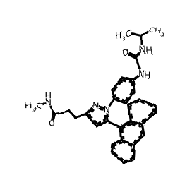 CNC(=O)CCc1cc(-c2c3ccccc3cc3ccccc23)n(-c2ccc(NC(=O)NC(C)C)cc2)n1